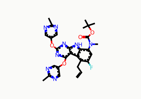 C=CCc1c(F)cc(N(C)C(=O)OC(C)(C)C)c2[nH]c3nc(Oc4cnc(C)nc4)nc(Oc4cnc(C)nc4)c3c12